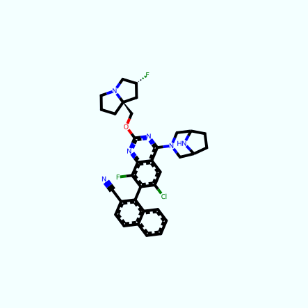 N#Cc1ccc2ccccc2c1-c1c(Cl)cc2c(N3CC4CCC(C3)N4)nc(OC[C@@]34CCCN3C[C@H](F)C4)nc2c1F